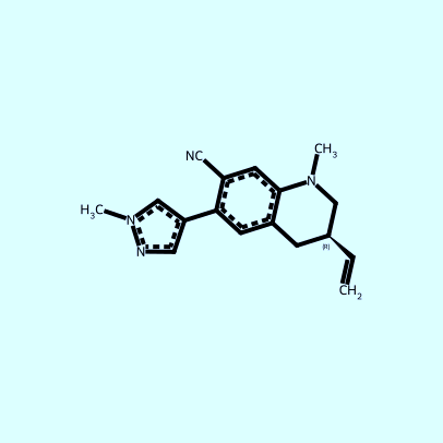 C=C[C@H]1Cc2cc(-c3cnn(C)c3)c(C#N)cc2N(C)C1